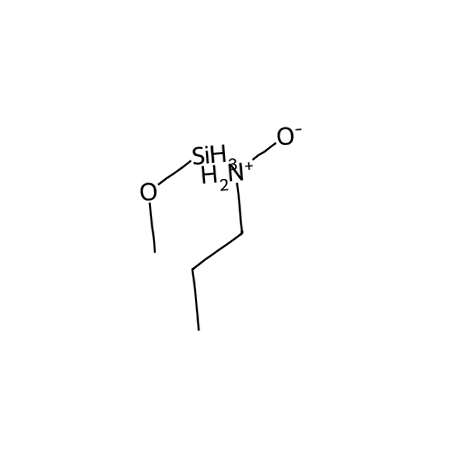 CCC[NH2+][O-].CO[SiH3]